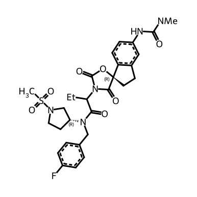 [CH2]CC(C(=O)N(Cc1ccc(F)cc1)[C@@H]1CCN(S(C)(=O)=O)C1)N1C(=O)O[C@@]2(CCc3cc(NC(=O)NC)ccc32)C1=O